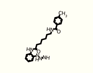 Cc1ccc(C(=O)NCCCCCCC(=O)Nc2ccccc2NN=N)cc1